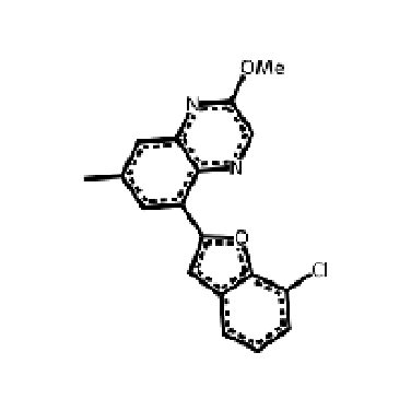 COc1cnc2c(-c3cc4cccc(Cl)c4o3)cc(C)cc2n1